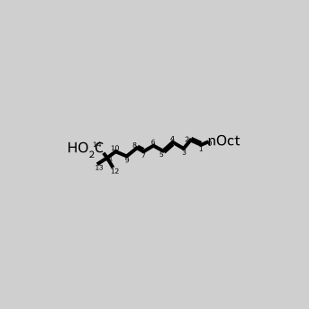 CCCCCCCCC=CCC=CCC=CCCC(C)(C)C(=O)O